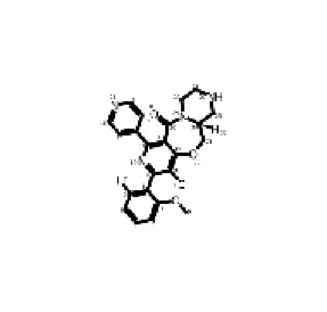 COc1cccc(F)c1-c1nc(-c2ccncc2)c2c(c1Cl)OC[C@H]1CNCCN1C2=O